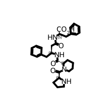 O=C(C[C@H](Cc1ccccc1)NC(=O)[C@@H]1CCCCN1C(=O)[C@@H]1CCCN1)N[C@@H](Cc1ccccc1)C(=O)O